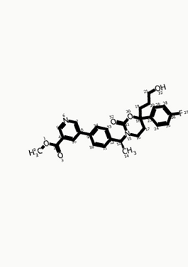 COC(=O)c1cncc(-c2ccc([C@H](C)N3CCC(CCCO)(c4ccc(F)cc4)OC3=O)cc2)c1